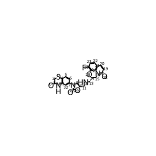 O=C1CSc2ccc(N3C[C@@H](CNC[C@H]4Cn5c(=O)ccc6ccc(F)c(c65)O4)OC3=O)cc2N1